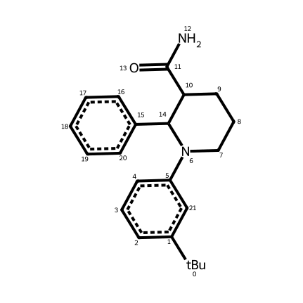 CC(C)(C)c1cccc(N2CCCC(C(N)=O)C2c2ccccc2)c1